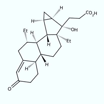 CC[C@H]1CC2=CC(=O)CC[C@@H]2[C@H]2CC[C@@]3(CC)[C@@H]([C@H]4C[C@H]4[C@@]3(O)CCC(=O)O)[C@H]12